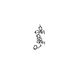 Cc1cc(C)c(NC(=O)c2ccc3nc(NC(=O)C4CC4Cc4ccccc4)sc3c2)c(C)c1